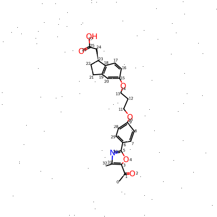 CC(=O)c1oc(-c2ccc(OCCCOc3ccc4c(c3)CC[C@H]4CC(=O)O)cc2)nc1C